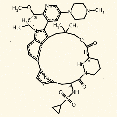 CCn1c(-c2cc(N3CCN(C)CC3)cnc2[C@H](C)OC)c2c3cc(ccc31)-c1csc(n1)C[C@H](NS(=O)(=O)C1CC1)C(=O)N1CCC[C@H](N1)C(=O)OCC(C)(C)C2